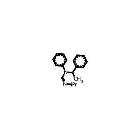 CC(C)/N=C\N(c1ccccc1)C(C)c1ccccc1